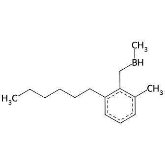 CBCc1c(C)cccc1CCCCCC